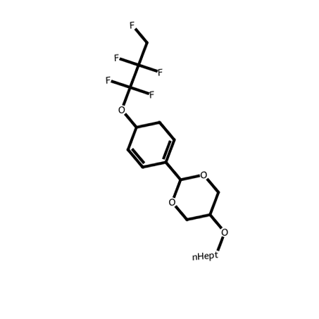 CCCCCCCOC1COC(C2=CCC(OC(F)(F)C(F)(F)CF)C=C2)OC1